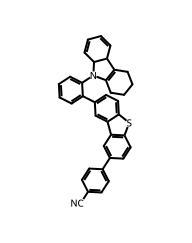 N#Cc1ccc(-c2ccc3sc4ccc(-c5ccccc5N5C6=C(CCCC6)C6C=CC=CC65)cc4c3c2)cc1